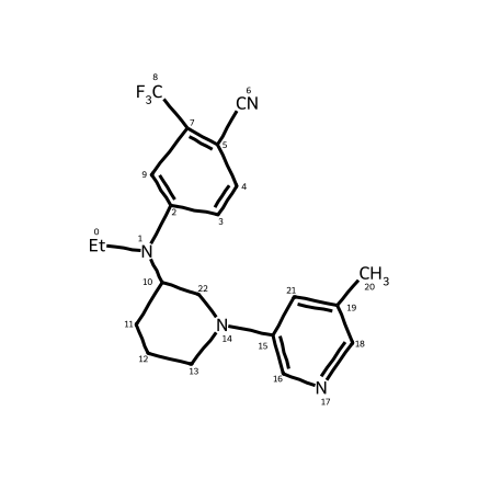 CCN(c1ccc(C#N)c(C(F)(F)F)c1)C1CCCN(c2cncc(C)c2)C1